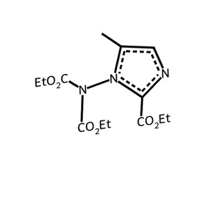 CCOC(=O)c1ncc(C)n1N(C(=O)OCC)C(=O)OCC